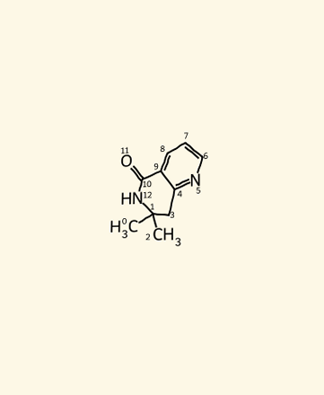 CC1(C)Cc2ncccc2C(=O)N1